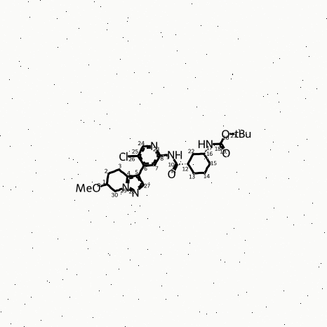 COC1CCc2c(-c3cc(NC(=O)[C@H]4CCC[C@@H](NC(=O)OC(C)(C)C)C4)ncc3Cl)cnn2C1